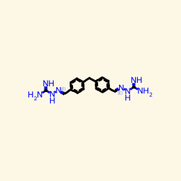 N=C(N)N/N=C/c1ccc(Cc2ccc(/C=N/NC(=N)N)cc2)cc1